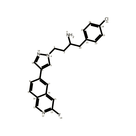 NC(CCn1cc(-c2ccc3cnc(F)cc3c2)cn1)Cc1ccc(Cl)cc1